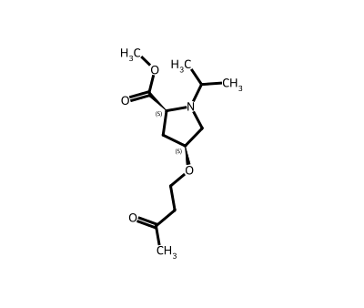 COC(=O)[C@@H]1C[C@H](OCCC(C)=O)CN1C(C)C